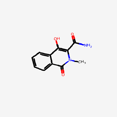 Cn1c(C(N)=O)c(O)c2ccccc2c1=O